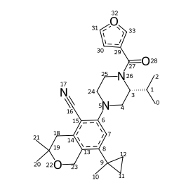 CC(C)[C@@H]1CN(c2cc(C3(C)CC3)c3c(c2C#N)CC(C)(C)OC3)CCN1C(=O)c1ccoc1